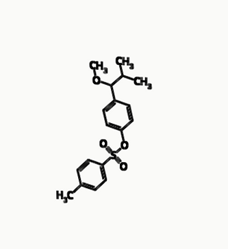 COC(c1ccc(OS(=O)(=O)c2ccc(C)cc2)cc1)C(C)C